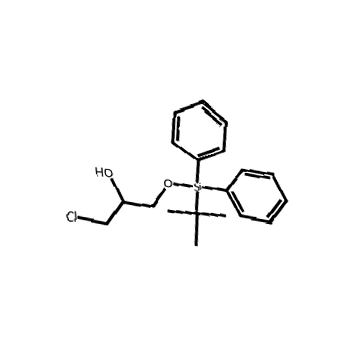 CC(C)(C)[Si](OCC(O)CCl)(c1ccccc1)c1ccccc1